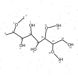 CC(OI)C(O)C(O)C(O)C(OS)C(CO)OS